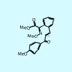 CON=C(C(=O)OC)c1ccccc1/C=C/C(=O)c1ccc(OC)cc1